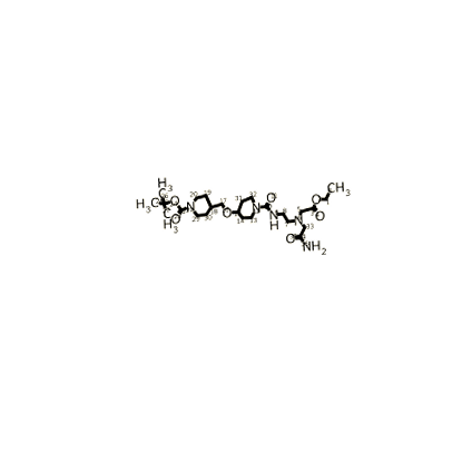 CCOC(=O)CN(CCNC(=O)N1CCC(OCC2CCN(C(=O)OC(C)(C)C)CC2)CC1)CC(N)=O